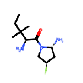 CCC(C)(C)[C@H](N)C(=O)N1C[C@@H](F)C[C@H]1N